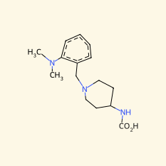 CN(C)c1ccccc1CN1CCC(NC(=O)O)CC1